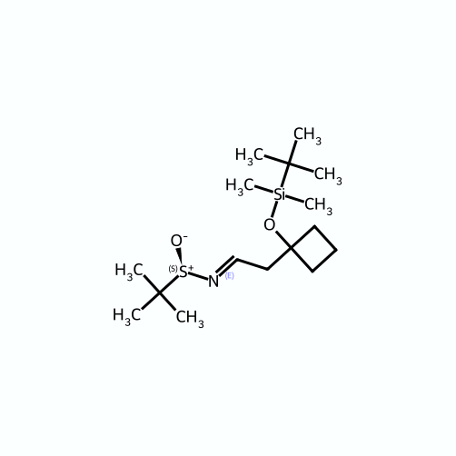 CC(C)(C)[S@@+]([O-])/N=C/CC1(O[Si](C)(C)C(C)(C)C)CCC1